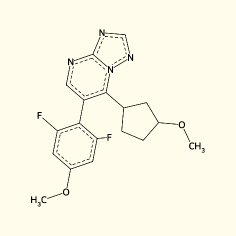 COc1cc(F)c(-c2cnc3ncnn3c2C2CCC(OC)C2)c(F)c1